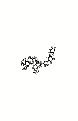 COc1cc([C@@H]2c3cc4c(cc3[C@@H](NC(=O)c3cn(-c5cccc(Oc6ccccc6)c5)nn3)[C@H]3COC(=O)[C@H]23)OCO4)cc(OC)c1OC